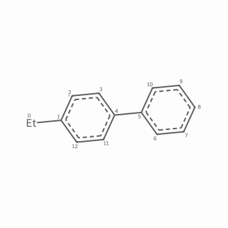 CCc1[c]cc(-c2ccccc2)cc1